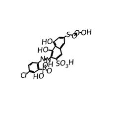 O=P(O)(O)c1cc(Cl)ccc1N=Nc1c(S(=O)(=O)O)cc2cc(SOOO)cc(O)c2c1O